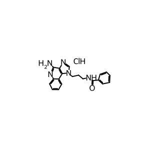 Cl.Nc1nc2ccccc2c2c1ncn2CCCNC(=O)c1ccccc1